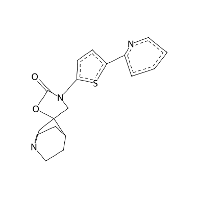 O=C1OC2(CN3CCC2CC3)CN1c1ccc(-c2ccccn2)s1